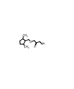 CC(C)CC(=O)COCC1C(C)CCC1C